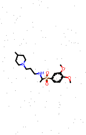 COc1ccc(S(=O)(=O)C(C)NCCCN2CCC(C)CC2)cc1OC